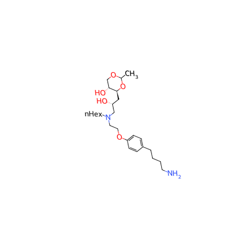 CCCCCCN(CCOc1ccc(CCCCN)cc1)C[C@H](O)C[C@@H]1OC(C)OC[C@H]1O